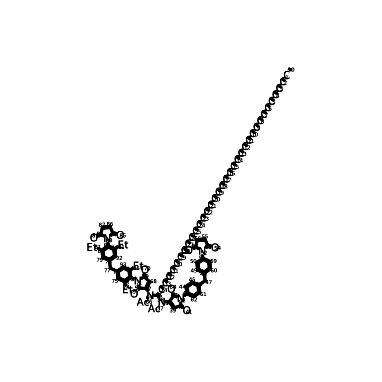 C=C=C=C=C=C=C=C=C=C=C=C=C=C=C=C=C=C=C=C=C=C=C=C=C=C=C=C=C=C=C=C=C=C=C=C(N(C(C)=O)C1=CC(=O)N(c2ccc(Cc3ccc(N4C(=O)C=CC4=O)cc3)cc2)C1=O)N(C(C)=O)C1=CC(=O)N(c2c(CC)cc(Cc3cc(CC)c(N4C(=O)C=CC4=O)c(CC)c3)cc2CC)C1=O